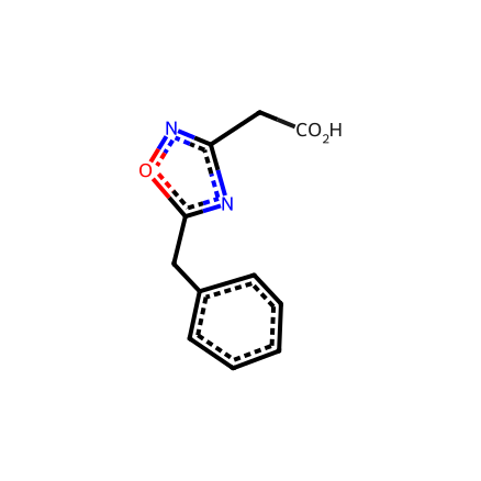 O=C(O)Cc1noc(Cc2ccccc2)n1